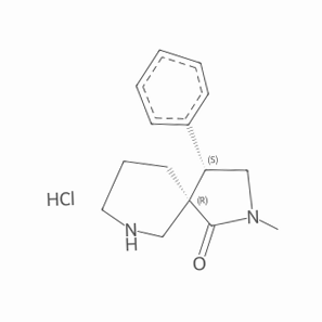 CN1C[C@@H](c2ccccc2)[C@@]2(CCCNC2)C1=O.Cl